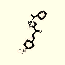 CC(c1ccccc1)n1cc(C(=O)/C=C/c2ccc([N+](=O)[O-])cc2)nn1